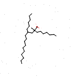 CCCCCCCCCCC(CCCCCC)CC(C)(CCCCCCC)C(=O)O